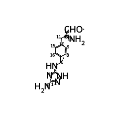 Nc1n[nH]c(NCc2ccc(C[C@H](N)[C]=O)cc2)n1